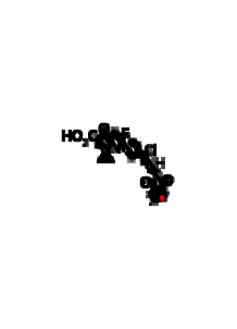 O=C(O)c1cn(C2CC2)c2nc(N3CCC(=C(Cl)CNCCN4C(=O)c5ccccc5C4=O)CC3)c(F)cc2c1=O